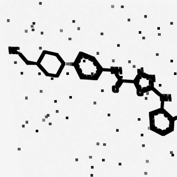 N#CC[C@H]1CC[C@H](c2ccc(NC(=O)c3nnc(Nc4ccccc4F)o3)cc2)CC1